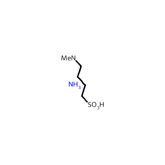 CNCCCCS(=O)(=O)O.N